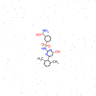 Cc1cccc(C)c1-c1cc(O)nc(NS(=O)(=O)c2cccc(C(N)O)c2)n1